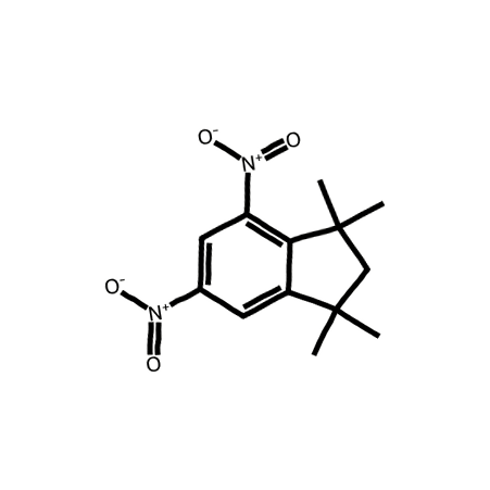 CC1(C)CC(C)(C)c2c([N+](=O)[O-])cc([N+](=O)[O-])cc21